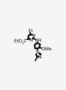 CCOC(=O)c1cc(CC)nc(Nc2ccc(-n3cnc(C)c3)c(OC)c2)n1